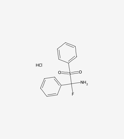 Cl.NC(F)(c1ccccc1)S(=O)(=O)c1ccccc1